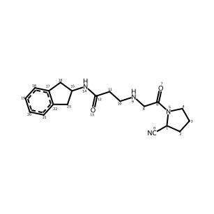 N#CC1CCCN1C(=O)CNCCC(=O)NC1Cc2ccccc2C1